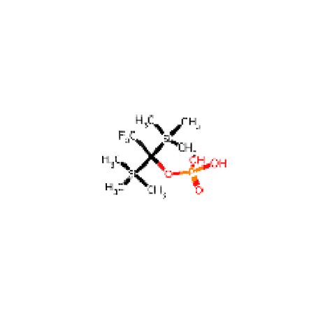 C[Si](C)(C)C(OP(=O)(O)O)(C(F)(F)F)[Si](C)(C)C